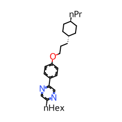 CCCCCCc1cnc(-c2ccc(OCCC[C@H]3CC[C@H](CCC)CC3)cc2)cn1